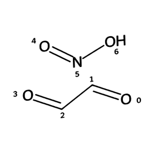 O=CC=O.O=NO